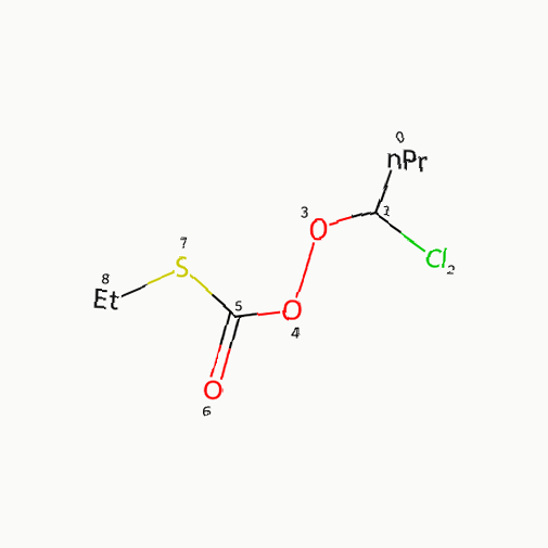 CCCC(Cl)OOC(=O)SCC